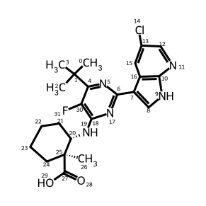 CC(C)(C)c1nc(-c2c[nH]c3ncc(Cl)cc23)nc(N[C@H]2CCCC[C@]2(C)C(=O)O)c1F